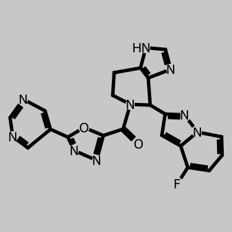 O=C(c1nnc(-c2cncnc2)o1)N1CCc2[nH]cnc2C1c1cc2c(F)cccn2n1